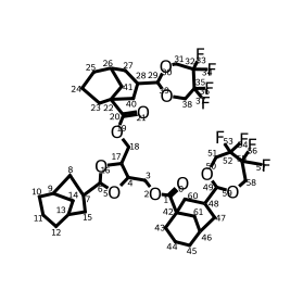 O=C(OCC1OC(C2CC3CCCC(C3)C2)OC1COC(=O)C12CCCC(CC(C3OCC(F)(F)C(F)(F)CO3)C1)C2)C12CCCC(CC(C3OCC(F)(F)C(F)(F)CO3)C1)C2